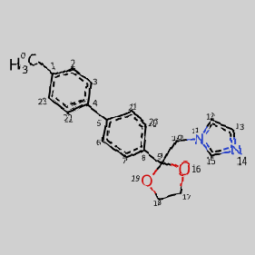 Cc1ccc(-c2ccc(C3(Cn4ccnc4)OCCO3)cc2)cc1